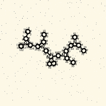 c1ccc(-c2ccc3c(c2)c2cc(-c4ccc5c(c4)c4cc(-c6ccccc6)ccc4n5-c4ccc(-c5nc(-c6ccc(-n7c8ccc(-c9ccccc9)cc8c8cc(-c9ccc%10c(c9)c9cc(-c%11ccccc%11)ccc9n%10-c9ccccc9)ccc87)cc6)c6c(n5)-c5cccc7cccc-6c57)cc4)ccc2n3-c2ccccc2)cc1